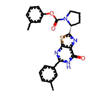 Cc1cccc(OC(=O)N2CCC[C@@H]2c2nc3c(=O)[nH]c(-c4cccc(C)c4)nc3s2)c1